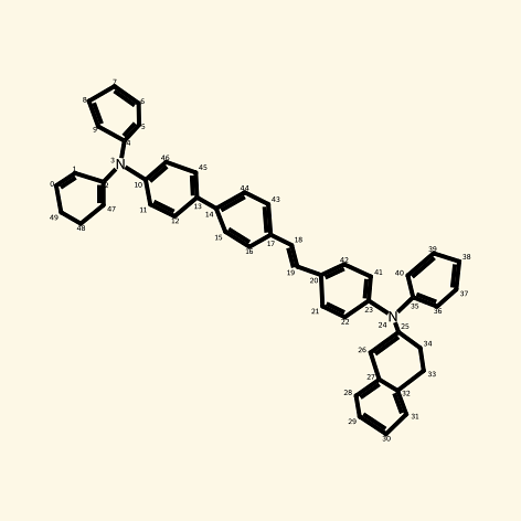 C1=CC(N(c2ccccc2)c2ccc(-c3ccc(/C=C/c4ccc(N(C5=Cc6ccccc6CC5)c5ccccc5)cc4)cc3)cc2)=CCC1